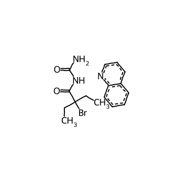 CCC(Br)(CC)C(=O)NC(N)=O.c1ccc2ncccc2c1